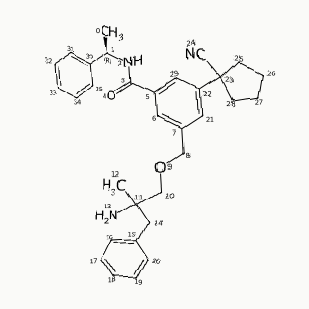 C[C@@H](NC(=O)c1cc(COCC(C)(N)Cc2ccccc2)cc(C2(C#N)CCCC2)c1)c1ccccc1